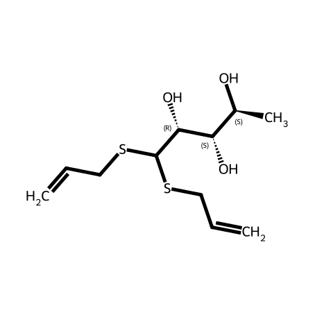 C=CCSC(SCC=C)[C@H](O)[C@@H](O)[C@H](C)O